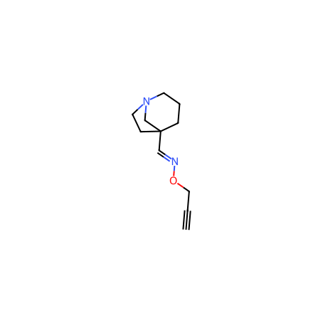 C#CCON=CC12CCCN(CC1)C2